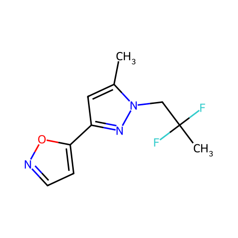 Cc1cc(-c2ccno2)nn1CC(C)(F)F